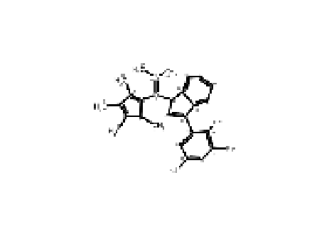 CC1=C(C)C(C)[C]([Zr]([CH]2C=C(c3cc(F)cc(F)c3F)c3ccccc32)=[Si](C)C)=C1C